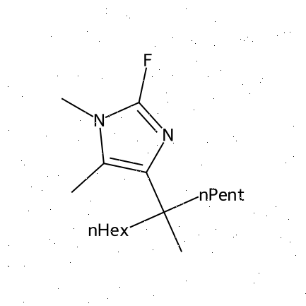 CCCCCCC(C)(CCCCC)c1nc(F)n(C)c1C